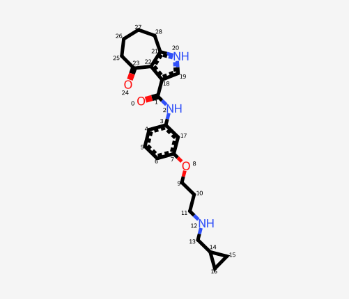 O=C(Nc1cccc(OCCCNCC2CC2)c1)c1c[nH]c2c1C(=O)CCCC2